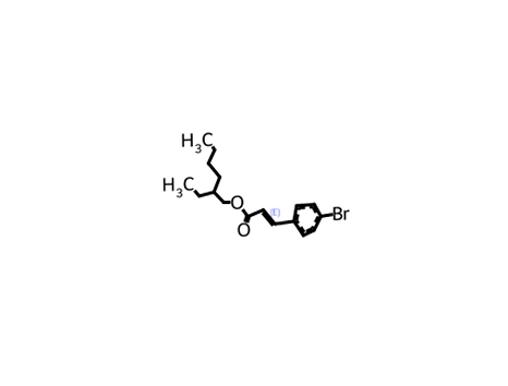 CCCCC(CC)COC(=O)/C=C/c1ccc(Br)cc1